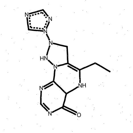 CCC1=C2CN(n3cncn3)NN2C2=NC=NC(=O)C2N1